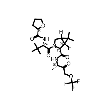 C[C@H](NC(=O)[C@@H]1[C@@H]2[C@H](CN1C(=O)[C@@H](NC(=O)[C@H]1CCCO1)C(C)(C)C)C2(C)C)C(=O)COC(F)(F)F